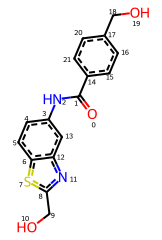 O=C(Nc1ccc2sc(CO)nc2c1)c1ccc(CO)cc1